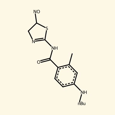 CCCCNc1ccc(C(=O)NC2=NCC(N=O)S2)c(C)c1